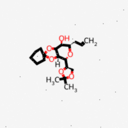 C=CC[C@@H]1O[C@@H]([C@H]2COC(C)(C)O2)[C@H]2OC3(CCCCC3)OC2[C@H]1O